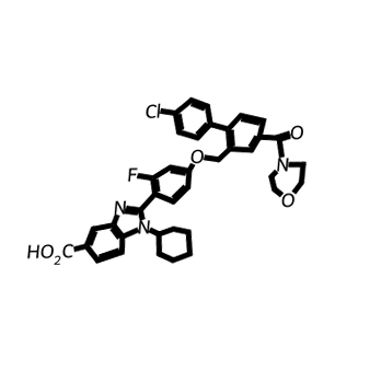 O=C(O)c1ccc2c(c1)nc(-c1ccc(OCc3cc(C(=O)N4CCOCC4)ccc3-c3ccc(Cl)cc3)cc1F)n2C1CCCCC1